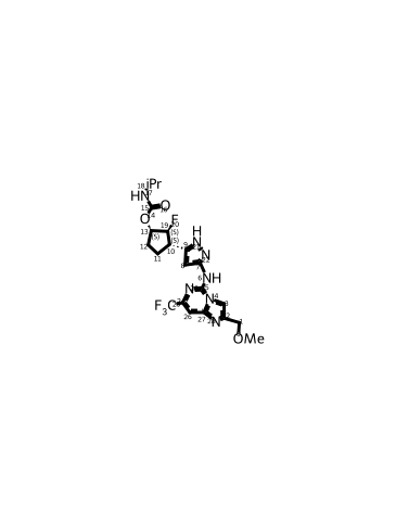 COCc1cn2c(Nc3cc([C@@H]4CC[C@H](OC(=O)NC(C)C)[C@H]4F)[nH]n3)nc(C(F)(F)F)cc2n1